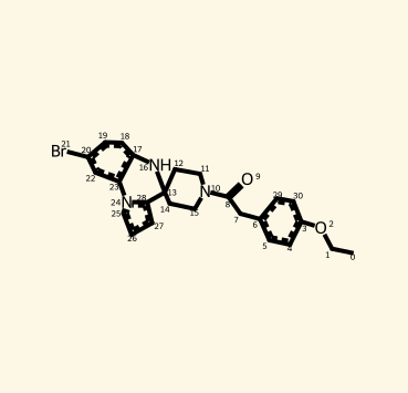 CCOc1ccc(CC(=O)N2CCC3(CC2)Nc2ccc(Br)cc2-n2cccc23)cc1